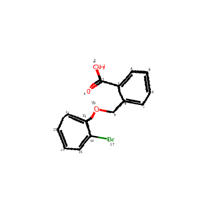 O=C(O)c1ccccc1COc1ccccc1Br